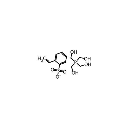 C=Cc1ccccc1S(=O)(=O)[O-].OC[P+](CO)(CO)CO